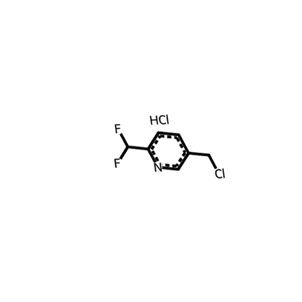 Cl.FC(F)c1ccc(CCl)cn1